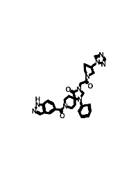 O=C(CN1CN(c2ccccc2)C2(CCN(C(=O)c3ccc4[nH]ncc4c3)CC2)C1=O)N1CCC(n2cncn2)C1